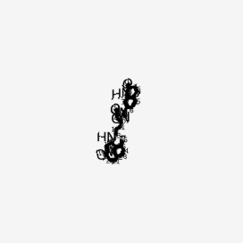 O=C1CSc2ccc(-n3nc(CCCN[C@@H]4Cn5c(=O)ccc6ccc(F)c4c65)oc3=O)cc2N1